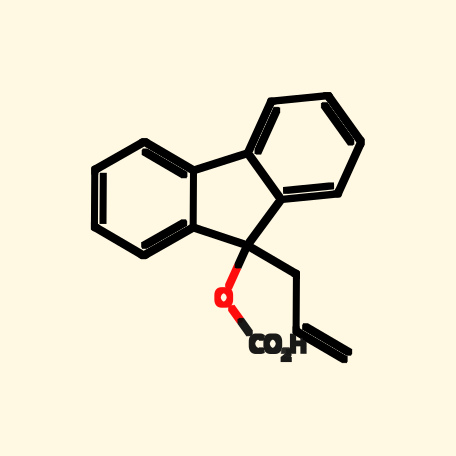 C=CCC1(OC(=O)O)c2ccccc2-c2ccccc21